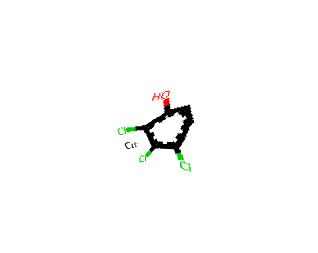 Oc1ccc(Cl)c(Cl)c1Cl.[Cu]